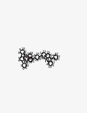 C1=CC2c3ccc4c5ccccc5n(-c5ccccc5)c4c3N(c3ccc(C4=CC=C(C5=Nc6c(ccc7c(-c8ccccc8)c8c(nc67)=CCCC=8)CC5)CC4)cc3)C2C=C1